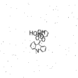 CN1c2ccccc2C(=C(Oc2ccccc2)OP(=O)(O)O)c2ccccc21